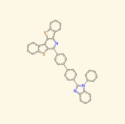 c1ccc(-n2c(-c3ccc(-c4ccc(-c5nc6c7ccccc7sc6c6c5sc5ccccc56)cc4)cc3)nc3ccccc32)cc1